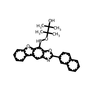 CC(C)(O)C(C)(C)OBc1c2oc(-c3ccc4ccccc4c3)nc2cc2c1oc1ccccc12